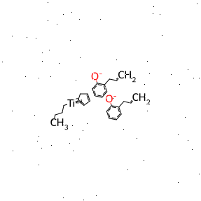 C=CCc1ccccc1[O-].C=CCc1ccccc1[O-].CCC[CH2][Ti+2][C]1=CC=CC1